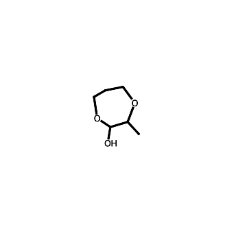 CC1OCCCOC1O